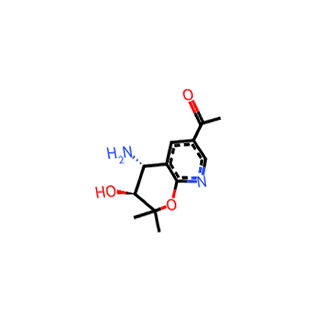 CC(=O)c1cnc2c(c1)[C@@H](N)[C@H](O)C(C)(C)O2